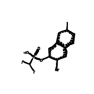 Cc1ccc2cc(Br)c(OP(=O)(O)C(F)F)cc2c1